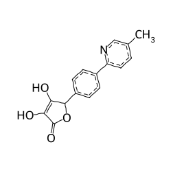 Cc1ccc(-c2ccc(C3OC(=O)C(O)=C3O)cc2)nc1